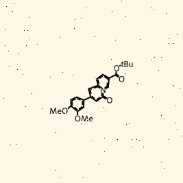 COc1ccc(-c2cc(=O)n3cc(C(=O)OC(C)(C)C)ccc3c2)cc1OC